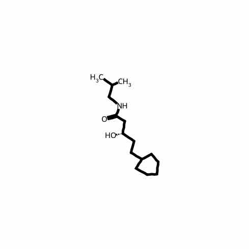 CC(C)CNC(=O)C[C@@H](O)CCC1CCCCC1